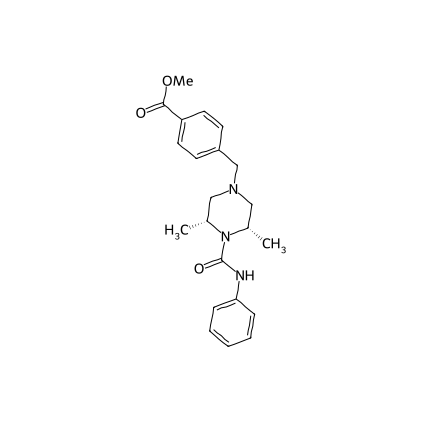 COC(=O)c1ccc(CN2C[C@@H](C)N(C(=O)Nc3ccccc3)[C@@H](C)C2)cc1